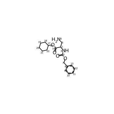 NCC(NC(=O)OCc1ccccc1)C(=O)OC1CCCCC1